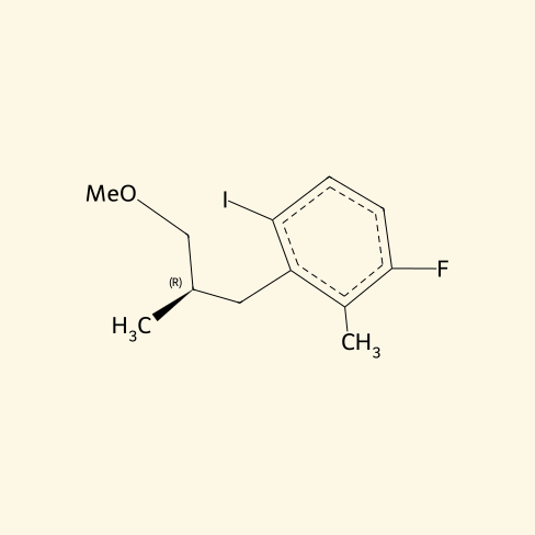 COC[C@H](C)Cc1c(I)ccc(F)c1C